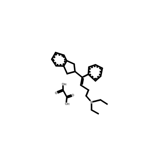 CCN(CC)CCC=C(c1ccccc1)C1Cc2ccccc2C1.O=C(O)C(=O)O